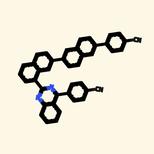 N#Cc1ccc(-c2ccc3cc(-c4ccc5cccc(-c6nc(-c7ccc(C#N)cc7)c7ccccc7n6)c5c4)ccc3c2)cc1